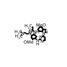 C=CC(=O)Nc1cc(Nc2nccc(-n3ncc4cc(OC)ccc43)n2)c(OC)cc1N(C)CCN(C)C